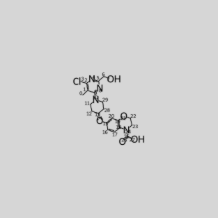 Cc1c(Cl)nc(CO)nc1N1CCC(Oc2ccc3c(c2)OCCN3C(=O)O)CC1